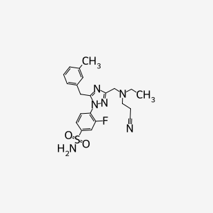 CCN(CCC#N)Cc1nc(Cc2cccc(C)c2)n(-c2ccc(S(N)(=O)=O)cc2F)n1